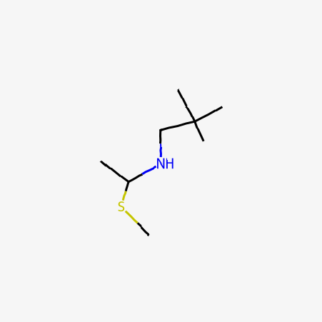 CSC(C)NCC(C)(C)C